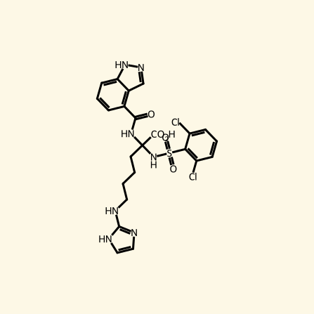 O=C(NC(CCCCNc1ncc[nH]1)(NS(=O)(=O)c1c(Cl)cccc1Cl)C(=O)O)c1cccc2[nH]ncc12